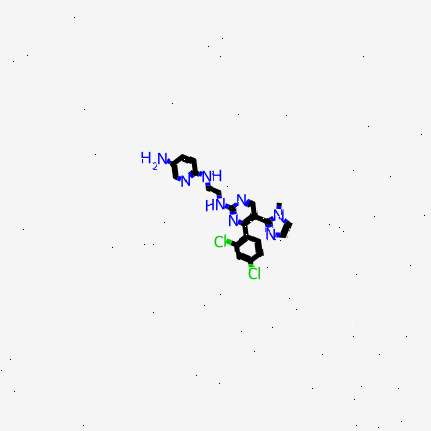 Cn1ccnc1-c1cnc(NCCNc2ccc(N)cn2)nc1-c1ccc(Cl)cc1Cl